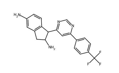 Nc1ccc2c(c1)CC(N)C2c1cc(-c2ccc(C(F)(F)F)cc2)ncn1